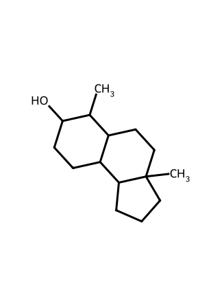 CC1C(O)CCC2C1CCC1(C)CCCC21